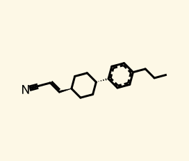 CCCc1ccc([C@H]2CC[C@H](C=CC#N)CC2)cc1